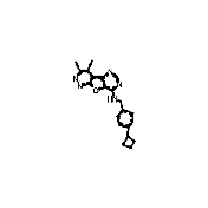 Cc1nnc2oc3c(NCc4ccc(C5CCC5)cc4)ncnc3c2c1C